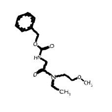 CCN(CCOC)C(=O)CNC(=O)OCc1ccccc1